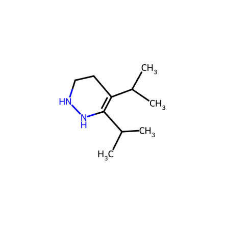 CC(C)C1=C(C(C)C)NNCC1